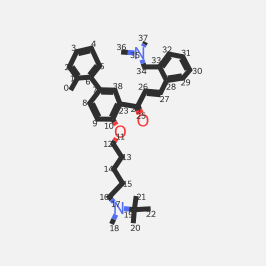 Cc1ccccc1-c1ccc(OCCCCCN(C)C(C)(C)C)c(C(=O)/C=C/c2ccccc2CN(C)C)c1